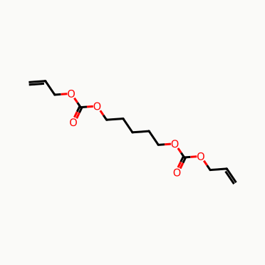 C=CCOC(=O)OCCCCCOC(=O)OCC=C